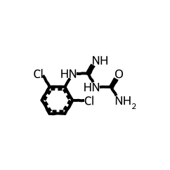 N=C(NC(N)=O)Nc1c(Cl)cccc1Cl